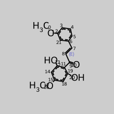 COc1cccc(/C=C/C(=O)c2c(O)cc(OC)cc2O)c1